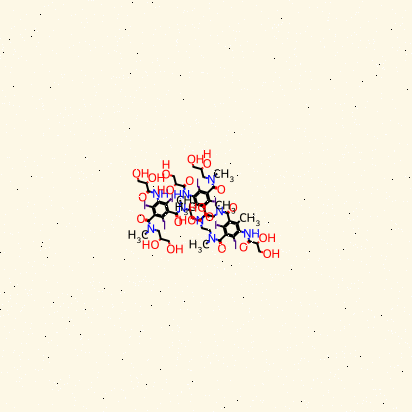 Cc1c(NC(=O)C(O)CO)c(I)c(C(=O)N(C)CCN(CCN(C)C(=O)c2c(I)c(NC(=O)C(O)CO)c(I)c(C(=O)N(C)CC(O)CO)c2I)C(=O)c2c(C)c(NC(=O)C(O)CO)c(I)c(C(=O)N(C)CC(O)CO)c2I)c(I)c1C(=O)N(C)CC(O)CO